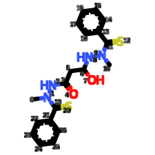 CN(NC(=O)CC(O)NN(C)C(=S)c1ccccc1)C(=S)c1ccccc1